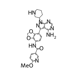 COc1ccc(C(=O)Nc2ccc(-c3nn([C@@H]4CCCNC4)c4ncnc(N)c34)c3c2OCO3)cn1